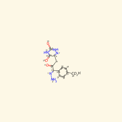 N/N=C(/C(=O)Cc1n[nH]c(=O)[nH]c1=O)c1ccc(C(=O)O)cc1